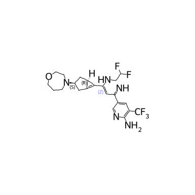 N=C(/C=C(\NCC(F)F)C1=C2C[C@@H](N3CCCOCC3)C[C@H]21)c1cnc(N)c(C(F)(F)F)c1